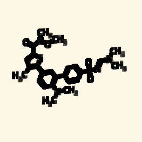 CON(C)C(=O)c1cc(C)c(-c2ccc(N(C)C)c(-c3ccc(S(=O)(=O)/N=C/N(C)C)cc3)c2)s1